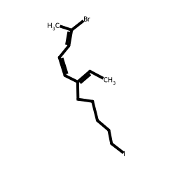 CC=C(/C=C\C=C(/C)Br)CCCCCI